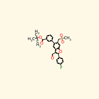 CC(C)(C)OC(=O)c1cccc(-c2cc3c(C=O)c(-c4ccc(F)cc4)oc3cc2CS(C)(=O)=O)c1